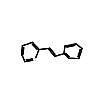 C(=Cc1cccc[o+]1)c1ccccc1